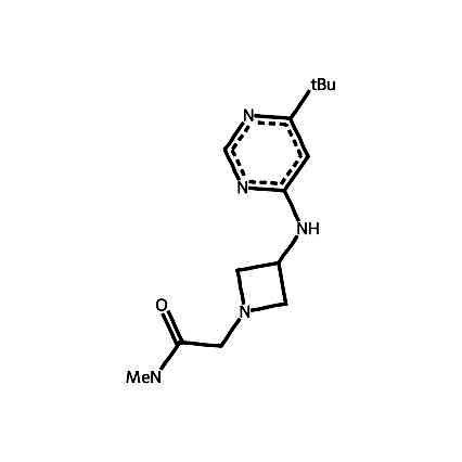 CNC(=O)CN1CC(Nc2cc(C(C)(C)C)ncn2)C1